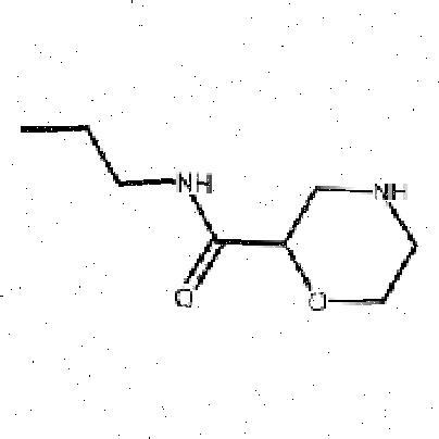 CCCNC(=O)C1CNCCO1